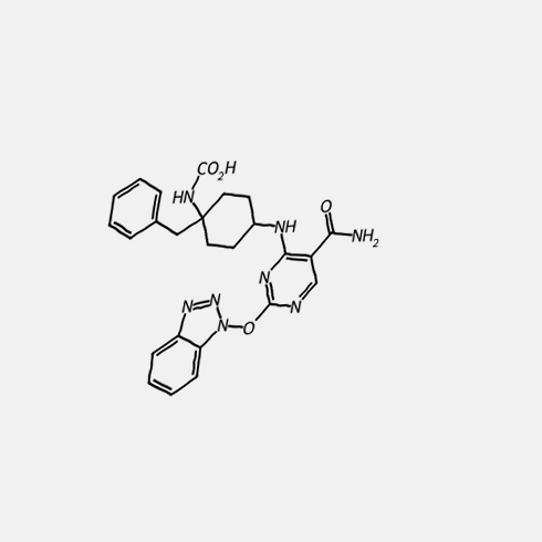 NC(=O)c1cnc(On2nnc3ccccc32)nc1NC1CCC(Cc2ccccc2)(NC(=O)O)CC1